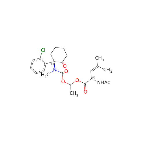 CC(=O)N[C@@H](C=C(C)C)C(=O)OC(C)OC(=O)N(C)[C@@]1(c2ccccc2Cl)CCCCC1=O